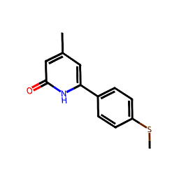 CSc1ccc(-c2cc(C)cc(=O)[nH]2)cc1